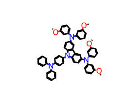 COc1cccc(N(c2cccc(OC)c2)c2ccc3c(c2)c2cc(N(c4cccc(OC)c4)c4cccc(OC)c4)ccc2n3-c2ccc(N(c3ccccc3)c3ccccc3)cc2)c1